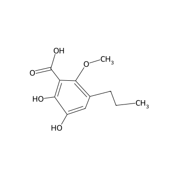 CCCc1cc(O)c(O)c(C(=O)O)c1OC